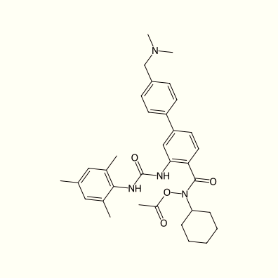 CC(=O)ON(C(=O)c1ccc(-c2ccc(CN(C)C)cc2)cc1NC(=O)Nc1c(C)cc(C)cc1C)C1CCCCC1